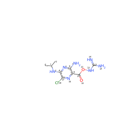 CC(C)Nc1nc(N)c(C(=O)ONC(=N)N)nc1Cl